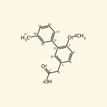 COc1ccc(CC(=O)O)cc1-c1cccc(C)c1